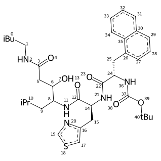 CCC(C)CNC(=O)CC(O)C(CC(C)C)NC(=O)[C@H](Cc1cscn1)NC(=O)[C@H](Cc1cccc2ccccc12)NC(=O)OC(C)(C)C